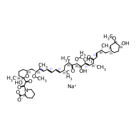 CO[C@@H](C[C@@H]1CC[C@@H](C)[C@](O)(C(=O)C(=O)N2CCCC[C@H]2C(=O)[O-])O1)/C(C)=C/C=C/C=C/[C@@H](C)C[C@@H](C)C(=O)[C@H](OC)[C@H](O)/C(C)=C/[C@@H](C)C(=O)/C=C/[C@H](C)C[C@@H]1CC[C@@H](O)[C@H](OC)C1.[Na+]